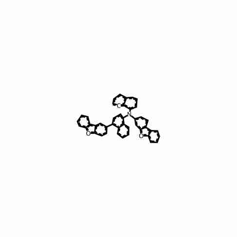 c1ccc2c(N(c3ccc4c(c3)oc3ccccc34)c3ccc(-c4ccc5oc6ccccc6c5c4)c4ccccc34)cccc2c1